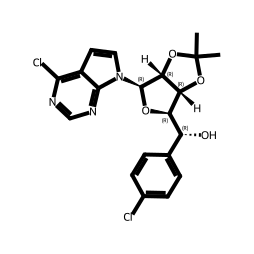 CC1(C)O[C@H]2[C@@H](O1)[C@H](n1ccc3c(Cl)ncnc31)O[C@@H]2[C@H](O)c1ccc(Cl)cc1